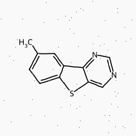 Cc1ccc2sc3cncnc3c2c1